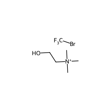 C[N+](C)(C)CCO.FC(F)(F)Br